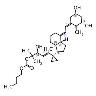 C=C1/C(=C\C=C2/CCC[C@]3(C)[C@@H](C4(/C=C/[C@H](O)C(C)(C)OC(=O)OCCCC)CC4)CC[C@@H]23)C[C@@H](O)C[C@@H]1O